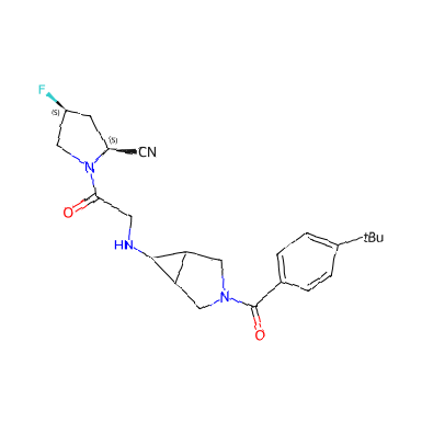 CC(C)(C)c1ccc(C(=O)N2CC3C(C2)C3NCC(=O)N2C[C@@H](F)C[C@H]2C#N)cc1